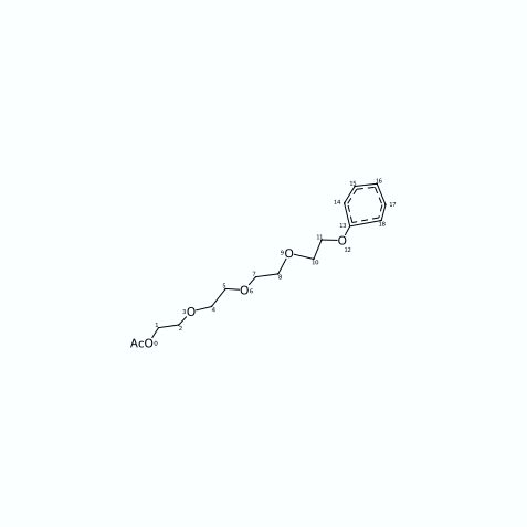 CC(=O)OCCOCCOCCOCCOc1ccccc1